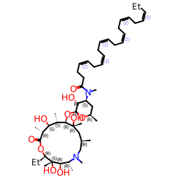 CC/C=C\C/C=C\C/C=C\C/C=C\C/C=C\C/C=C\CCC(=O)N(C)[C@H]1C[C@@H](C)O[C@@H](O[C@@H]2[C@@H](C)[C@H](O)[C@@H](C)C(=O)O[C@H](CC)[C@@](C)(O)[C@H](O)[C@@H](C)N(C)C[C@H](C)C[C@@]2(C)O)[C@@H]1O